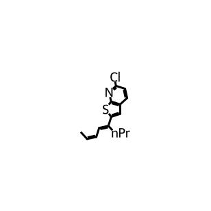 C/C=C\C=C(/CCC)c1cc2ccc(Cl)nc2s1